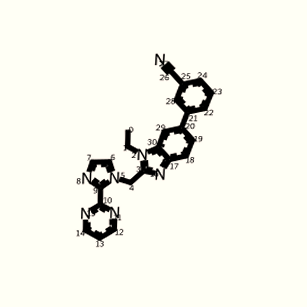 CCn1c(Cn2ccnc2-c2ncccn2)nc2ccc(-c3cccc(C#N)c3)cc21